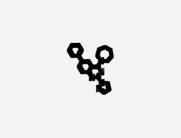 c1ccc(-c2ccc3nc(-n4cccn4)nc(N4CCCCCC4)c3c2)cc1